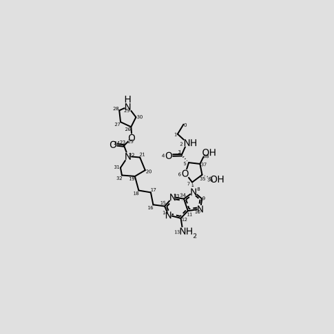 CCNC(=O)[C@H]1O[C@@H](n2cnc3c(N)nc(CCCC4CCN(C(=O)OC5CCNC5)CC4)nc32)[C@@H](O)C1O